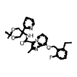 CCc1cccc(F)c1COc1cccn2c(C(=O)NC3(c4ccccn4)COC(C)(C)OC3)c(C)nc12